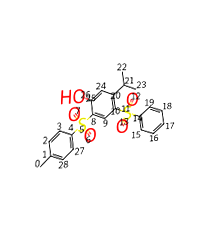 Cc1ccc(S(=O)(=O)c2cc(S(=O)(=O)c3ccccc3)c(C(C)C)cc2O)cc1